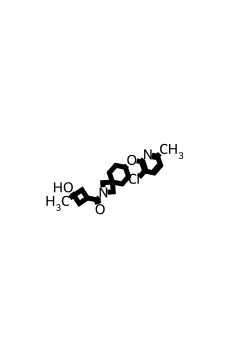 Cc1ccc(Cl)c(OC2CCC3(CC2)CN(C(=O)C2CC(C)(O)C2)C3)n1